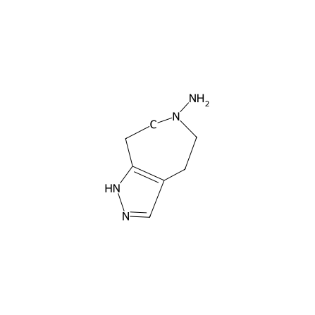 NN1CCc2cn[nH]c2CC1